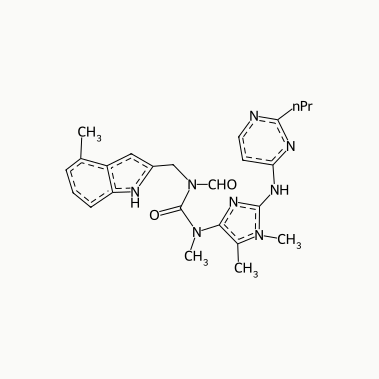 CCCc1nccc(Nc2nc(N(C)C(=O)N(C=O)Cc3cc4c(C)cccc4[nH]3)c(C)n2C)n1